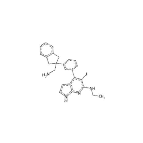 CCNc1nc2[nH]ccc2c(-c2cccc(C3(CN)Cc4ccccc4C3)c2)c1I